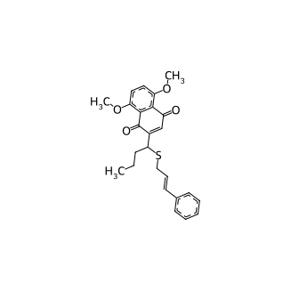 CCCC(SCC=Cc1ccccc1)C1=CC(=O)c2c(OC)ccc(OC)c2C1=O